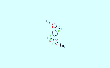 C=C(F)C(=O)OC(c1ccc(C(OC(=O)C(=C)F)(C(F)(F)F)C(F)(F)F)cc1)(C(F)(F)F)C(F)(F)F